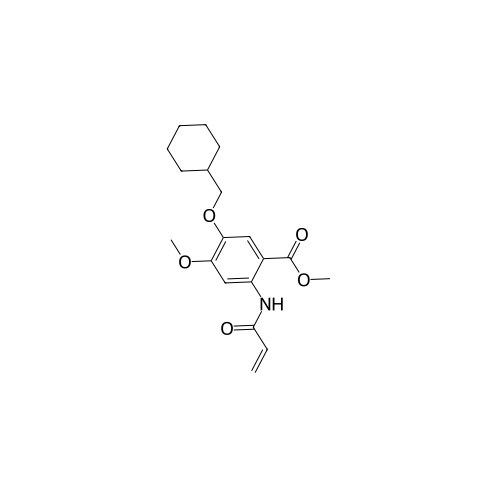 C=CC(=O)Nc1cc(OC)c(OCC2CCCCC2)cc1C(=O)OC